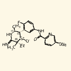 CC[C@]1(C)C(=N)N[C@@H](C)[C@H](c2cc(NC(=O)c3ccc(OC)cn3)ccc2F)[S+]1[O-]